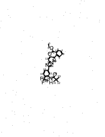 CCOC(=O)c1ccccc1-c1ccc2nc(-c3ccc(C(F)(F)F)c(NC(=O)C(C)(C)C)c3)cn2n1